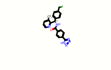 O=C(N[C@@H](c1ccc(CF)cc1)c1ncccc1C(F)(F)F)c1ccc(-c2nnn[nH]2)cc1